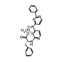 COC(=O)[C@@H](Cc1ccccc1)Nc1nccc(N(C)c2ccnc(-c3ccccc3)n2)n1